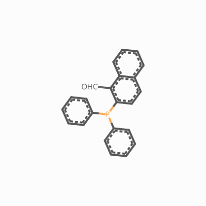 O=Cc1c(P(c2ccccc2)c2ccccc2)ccc2ccccc12